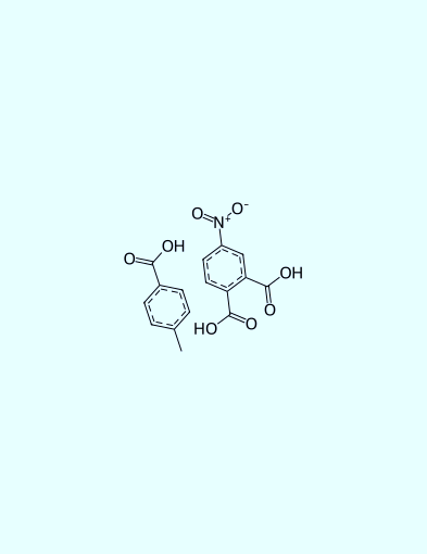 Cc1ccc(C(=O)O)cc1.O=C(O)c1ccc([N+](=O)[O-])cc1C(=O)O